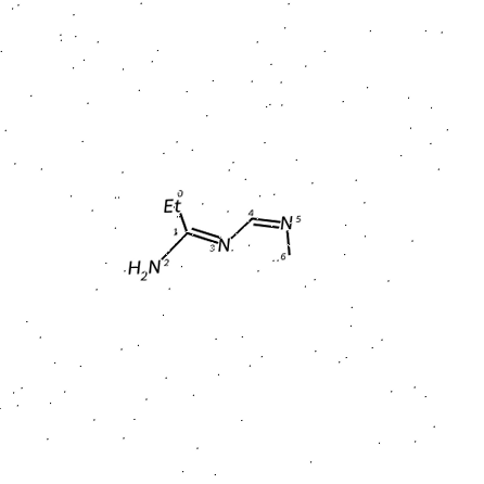 CC/C(N)=N\C=N/C